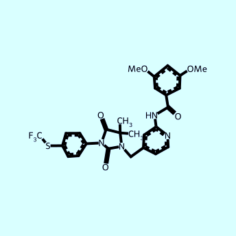 COc1cc(OC)cc(C(=O)Nc2cc(CN3C(=O)N(c4ccc(SC(F)(F)F)cc4)C(=O)C3(C)C)ccn2)c1